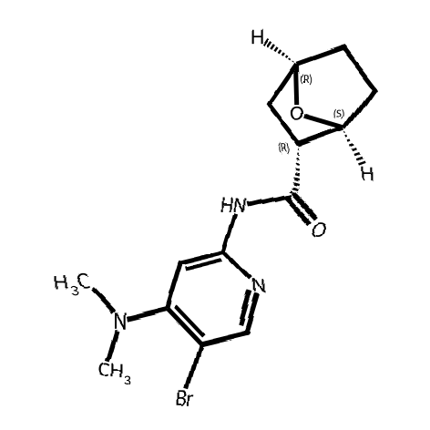 CN(C)c1cc(NC(=O)[C@@H]2C[C@H]3CC[C@@H]2O3)ncc1Br